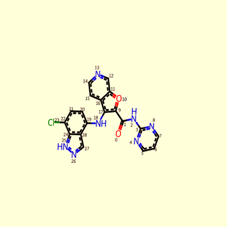 O=C(Nc1ncccn1)c1oc2cnccc2c1Nc1ccc(Cl)c2[nH]ncc12